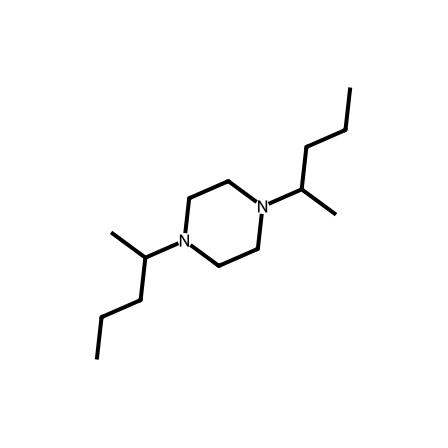 CCCC(C)N1CCN(C(C)CCC)CC1